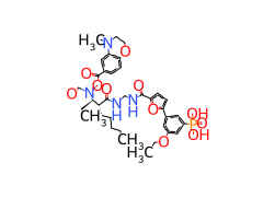 CCCCC[C@@H](C(=O)NCNC(=O)c1ccc(-c2cc(OCC)cc(P(=O)(O)O)c2)o1)[C@@H](CC)N(C=O)OC(=O)c1ccc2c(c1)N(C)CCO2